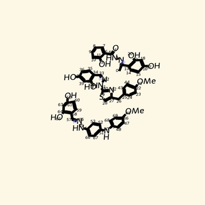 C/C(=N\NC(=O)c1ccccc1O)c1ccc(O)cc1O.COc1ccc(Cc2csc(N/N=C\c3ccc(O)cc3O)n2)cc1.COc1ccc(Nc2ccc(N/N=C/c3ccc(O)cc3O)cc2)cc1